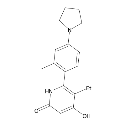 CCc1c(O)cc(=O)[nH]c1-c1ccc(N2CCCC2)cc1C